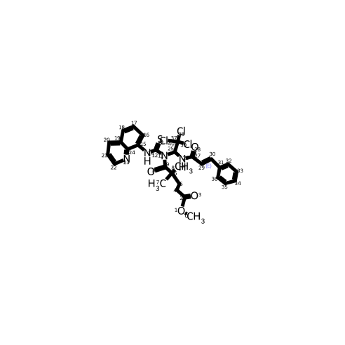 COC(=O)CCC(C)(C)C(=O)N(C(=S)Nc1cccc2cccnc12)C(NC(=O)/C=C/c1ccccc1)C(Cl)(Cl)Cl